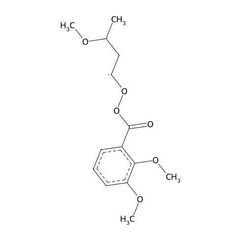 COc1cccc(C(=O)OO[CH]CC(C)OC)c1OC